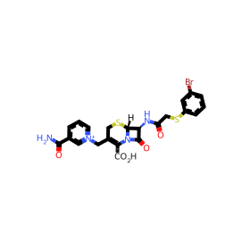 NC(=O)c1ccc[n+](CC2=C(C(=O)O)N3C(=O)[C@H](NC(=O)CSc4cccc(Br)c4)[C@H]3SC2)c1